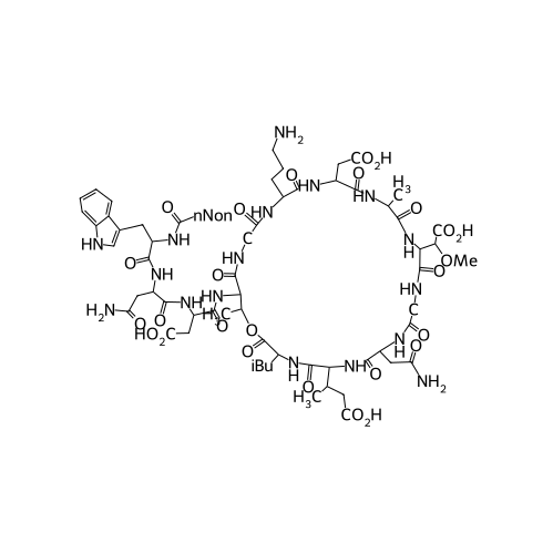 CCCCCCCCCC(=O)NC(Cc1c[nH]c2ccccc12)C(=O)NC(CC(N)=O)C(=O)NC(CC(=O)O)C(=O)NC1C(=O)NCC(=O)NC(CCCN)C(=O)NC(CC(=O)O)C(=O)NC(C)C(=O)NC(C(OC)C(=O)O)C(=O)NCC(=O)NC(CC(N)=O)C(=O)NC(C(C)CC(=O)O)C(=O)NC(C(C)CC)C(=O)OC1C